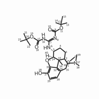 CO[C@@]12CC[C@@H](NC(=NC(=O)OC(C)(C)C)NC(=O)OC(C)(C)C)[C@@H]3Oc4c(O)ccc(c4C31C)CC2N(C)C